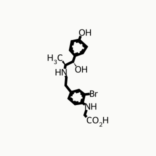 C[C@H](NCCc1ccc(NCC(=O)O)c(Br)c1)[C@@H](O)c1ccc(O)cc1